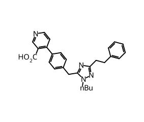 CCCCn1nc(CCc2ccccc2)nc1Cc1ccc(-c2ccncc2C(=O)O)cc1